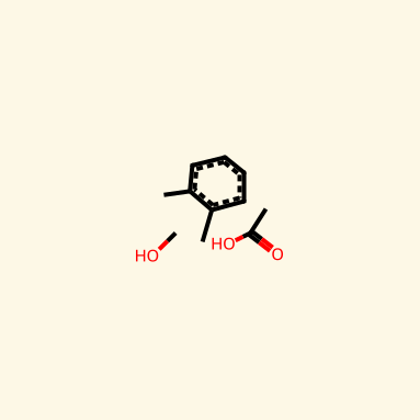 CC(=O)O.CO.Cc1ccccc1C